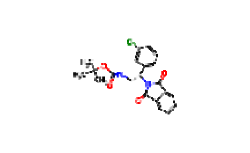 CC(C)(C)OC(=O)NC[C@H](c1cccc(Cl)c1)N1C(=O)c2ccccc2C1=O